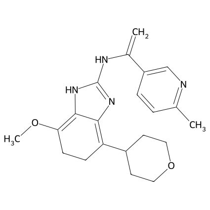 C=C(Nc1nc2c([nH]1)=C(OC)CCC=2C1CCOCC1)c1ccc(C)nc1